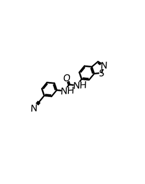 N#Cc1cccc(NC(=O)Nc2ccc3cnsc3c2)c1